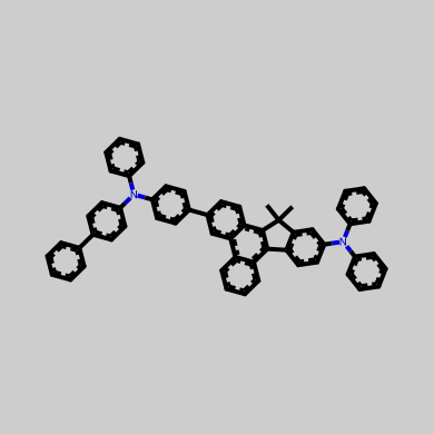 CC1(C)c2cc(N(c3ccccc3)c3ccccc3)ccc2-c2c1c1ccc(-c3ccc(N(c4ccccc4)c4ccc(-c5ccccc5)cc4)cc3)cc1c1ccccc21